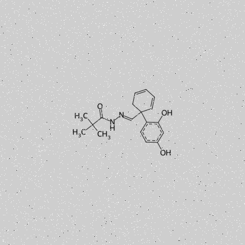 CC(C)(C)C(=O)NN=CC1(c2ccc(O)cc2O)C=CC=CC1